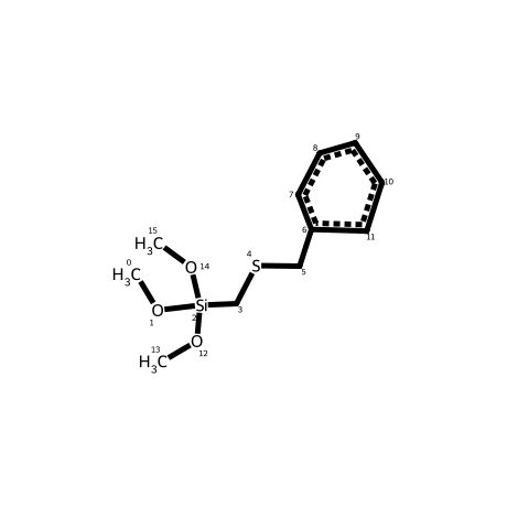 CO[Si](CSCc1ccccc1)(OC)OC